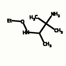 CCONC(C)C(C)(C)N